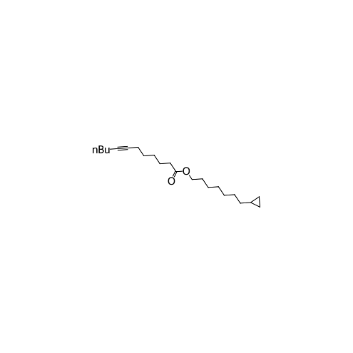 CCCCC#CCCCCCC(=O)OCCCCCCCC1CC1